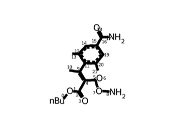 CCCCOC(=O)C(C(=O)ON)=C(C)c1c(C)cc(C(N)=O)cc1C